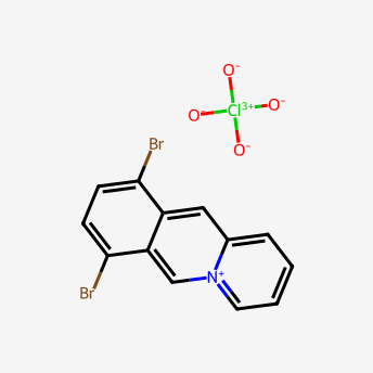 Brc1ccc(Br)c2c[n+]3ccccc3cc12.[O-][Cl+3]([O-])([O-])[O-]